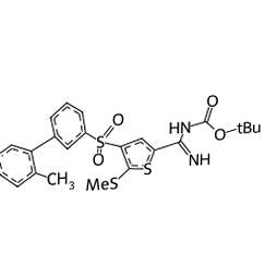 CSc1sc(C(=N)NC(=O)OC(C)(C)C)cc1S(=O)(=O)c1cccc(-c2cnccc2C)c1